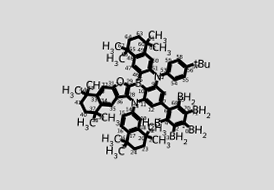 Bc1c(B)c(B)c(-c2cc3c4c(c2)N(c2ccc5c(c2)C(C)(C)CCC5(C)C)c2c(oc5cc6c(cc25)C(C)(C)CCC6(C)C)B4c2cc4c(cc2N3c2ccc(C(C)(C)C)cc2)C(C)(C)CCC4(C)C)c(B)c1B